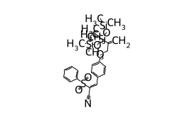 C=C(COc1ccc(C=C(C#N)S(=O)(=O)c2ccccc2)cc1)[Si](C)(O[Si](C)(C)C)O[Si](C)(C)C